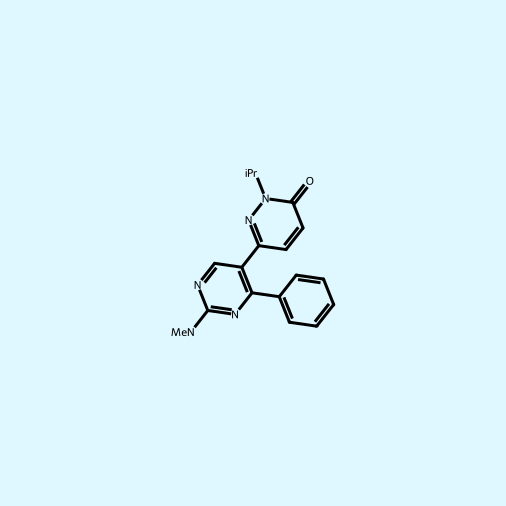 CNc1ncc(-c2ccc(=O)n(C(C)C)n2)c(-c2ccccc2)n1